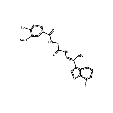 CCCC/C(=N\NC(=O)CNC(=O)c1ccc(CC)c(OC)c1)c1csc2c(F)cccc12